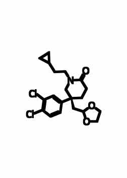 O=C1CC[C@](CC2OCCO2)(c2ccc(Cl)c(Cl)c2)CN1CCC1CC1